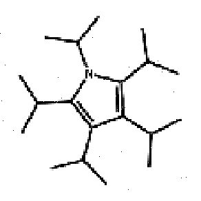 CC(C)c1c(C(C)C)c(C(C)C)n(C(C)C)c1C(C)C